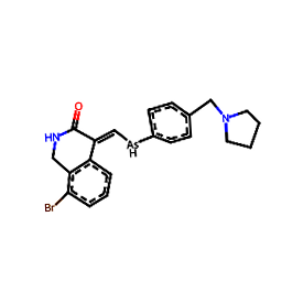 O=C1NCc2c(Br)cccc2/C1=C\[AsH]c1ccc(CN2CCCC2)cc1